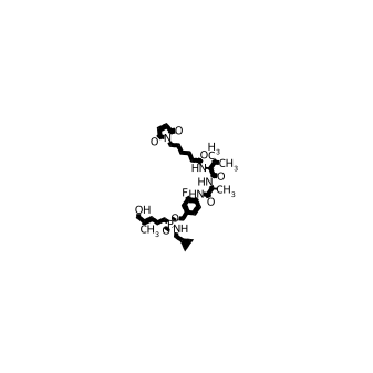 C/C(=C\CCP(=O)(NCC1CC1)OCc1ccc(NC(=O)[C@H](C)NC(=O)[C@@H](NC(=O)CCCCCN2C(=O)C=CC2=O)C(C)C)c(F)c1)CO